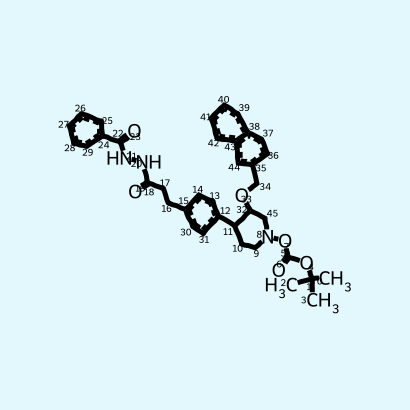 CC(C)(C)OC(=O)ON1CCC(c2ccc(CCC(=O)NNC(=O)c3ccccc3)cc2)C(OCc2ccc3ccccc3c2)C1